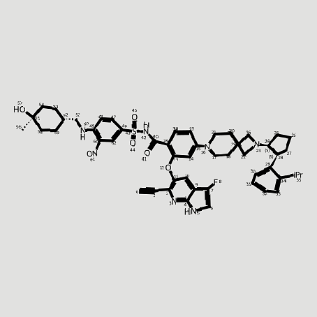 C#Cc1nc2[nH]cc(F)c2cc1Oc1cc(N2CCC3(CC2)CN([C@H]2CCC[C@H]2c2ccccc2C(C)C)C3)ccc1C(=O)NS(=O)(=O)c1ccc(NC[C@H]2CC[C@](C)(O)CC2)c(N=O)c1